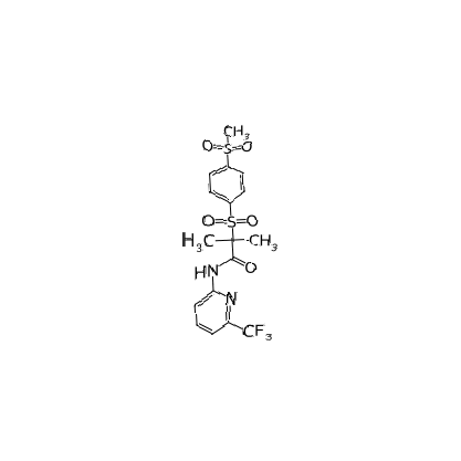 CC(C)(C(=O)Nc1cccc(C(F)(F)F)n1)S(=O)(=O)c1ccc(S(C)(=O)=O)cc1